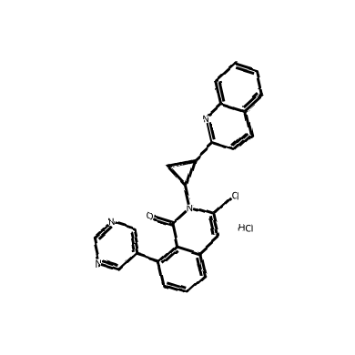 Cl.O=c1c2c(-c3cncnc3)cccc2cc(Cl)n1C1CC1c1ccc2ccccc2n1